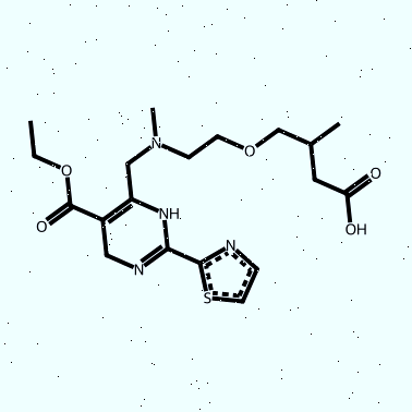 CCOC(=O)C1=C(CN(C)CCOCC(C)CC(=O)O)NC(c2nccs2)=NC1